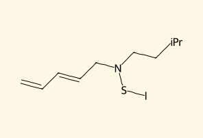 C=C/C=C/CN(CCC(C)C)SI